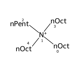 CCCCCCCC[N+](CCCCC)(CCCCCCCC)CCCCCCCC